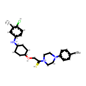 CC(C)(C)c1ccc(N2CCN(C(=S)COC3CCC(Nc4ccc(Cl)c(C(F)(F)F)c4)CC3)CC2)cc1